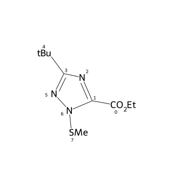 CCOC(=O)c1nc(C(C)(C)C)nn1SC